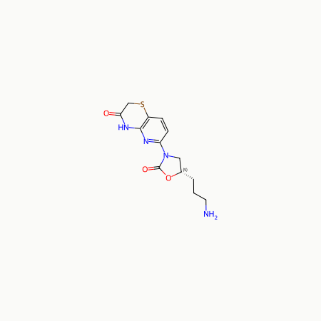 NCCC[C@H]1CN(c2ccc3c(n2)NC(=O)CS3)C(=O)O1